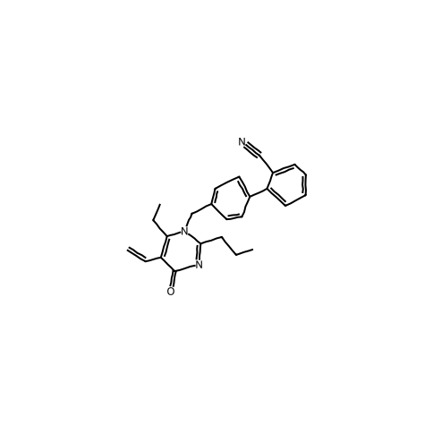 C=Cc1c(CC)n(Cc2ccc(-c3ccccc3C#N)cc2)c(CCC)nc1=O